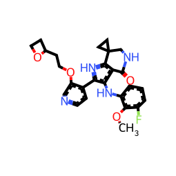 COc1c(F)cccc1Nc1c(-c2ccncc2OCCC2CCO2)[nH]c2c1C(=O)NCC21CC1